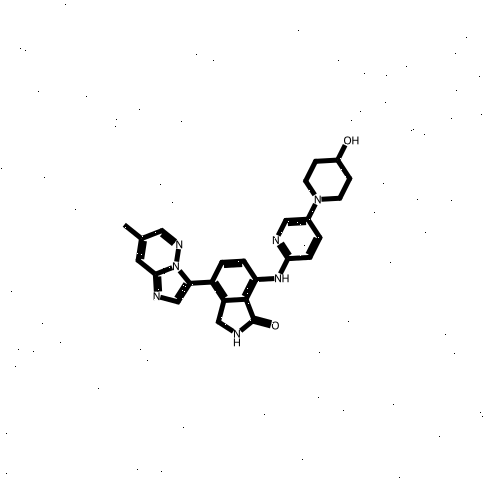 Cc1cnn2c(-c3ccc(Nc4ccc(N5CCC(O)CC5)cn4)c4c3CNC4=O)cnc2c1